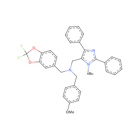 CCCCn1c(-c2ccccc2)nc(-c2ccccc2)c1CN(Cc1ccc(OC)cc1)Cc1ccc2c(c1)OC(F)(F)O2